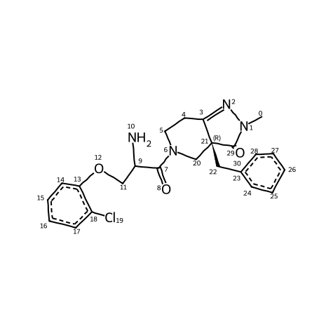 CN1N=C2CCN(C(=O)C(N)COc3ccccc3Cl)C[C@@]2(Cc2ccccc2)C1=O